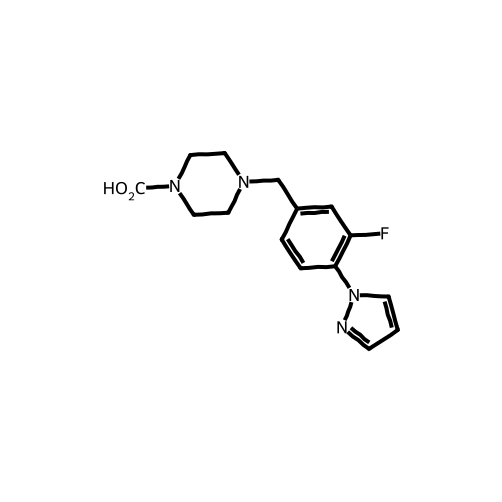 O=C(O)N1CCN(Cc2ccc(-n3cccn3)c(F)c2)CC1